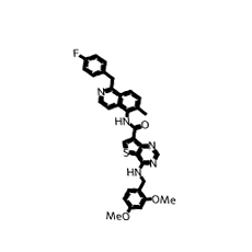 COc1ccc(CNc2ncnc3c(C(=O)Nc4c(C)ccc5c(Cc6ccc(F)cc6)nccc45)csc23)c(OC)c1